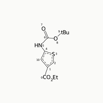 CCOC(=O)c1csc(NC(=O)OC(C)(C)C)c1